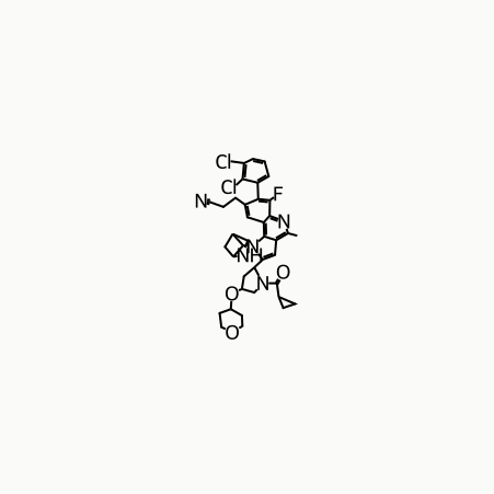 Cc1nc2c(F)c(-c3cccc(Cl)c3Cl)c(CCC#N)cc2c2c1cc(C1CC(OC3CCOCC3)CN1C(=O)C1CC1)n2C1C2CNC1C2